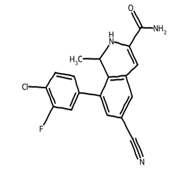 CC1NC(C(N)=O)=Cc2cc(C#N)cc(-c3ccc(Cl)c(F)c3)c21